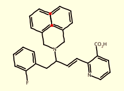 O=C(O)c1cccnc1C=CC(Cc1ccccc1F)N(Cc1ccccc1)Cc1ccccc1